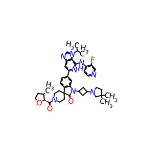 CC(C)n1cnc2cc(-c3ccc4c(c3)N(C3CC(N5CCC(C)(C)C5)C3)C(=O)C43CCN(C(=O)[C@H]4OCC[C@H]4C)CC3)nc(Nc3ccncc3F)c21